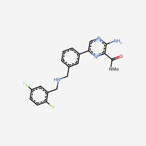 CNC(=O)c1nc(-c2cccc(CNCc3cc(F)ccc3F)c2)cnc1N